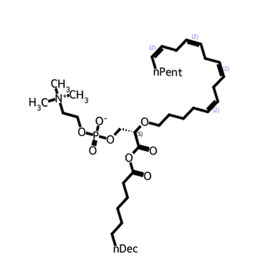 CCCCC/C=C\C/C=C\C/C=C\C/C=C\CCCCO[C@@H](COP(=O)([O-])OCC[N+](C)(C)C)C(=O)OC(=O)CCCCCCCCCCCCCCC